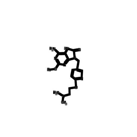 CCOc1nc(N)c2[nH]c(=O)n(Cc3ccc(OCCN(C)C)nc3)c2n1